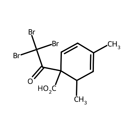 CC1=CC(C)C(C(=O)O)(C(=O)C(Br)(Br)Br)C=C1